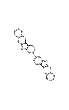 c1ccc2cc3c(cc2c1)sc1cc(-c2ccc4c(c2)sc2cc5ccccc5cc24)ccc13